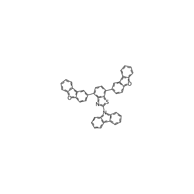 c1ccc2c(c1)oc1ccc(-c3ccc(-c4ccc5oc6ccccc6c5c4)c4sc(-n5c6ccccc6c6ccccc65)nc34)cc12